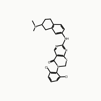 CN(C)C1CCc2ccc(Nc3ncc4c(n3)SCN(c3c(Cl)cccc3Cl)C4=O)cc2C1